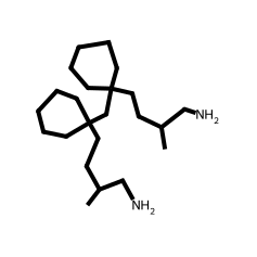 CC(CN)CCC1(CC2(CCC(C)CN)CCCCC2)CCCCC1